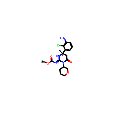 CC(C)(C)OC(=O)/N=C1\N[C@](C)(c2cccc(N)c2Cl)CC(=O)N1C1CCCOC1